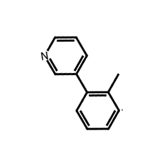 Cc1[c]cccc1-c1cccnc1